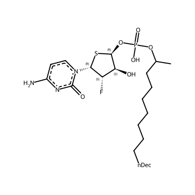 CCCCCCCCCCCCCCCCCC(C)OP(=O)(O)O[C@@H]1S[C@@H](n2ccc(N)nc2=O)[C@@H](F)[C@@H]1O